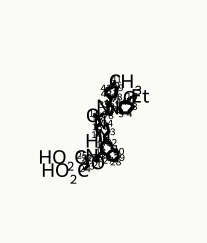 CCOc1cccc(-n2cc(C(=O)N3CCN(c4cc(C(=O)N[C@H](CC(=O)O)C(=O)O)c5ccccc5c4)CC3)nc2-c2ccc(C)cc2)c1